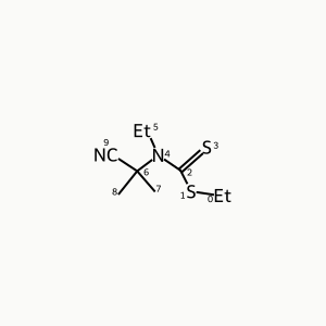 CCSC(=S)N(CC)C(C)(C)C#N